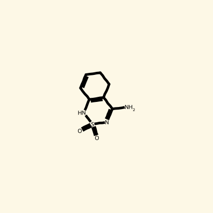 NC1=NS(=O)(=O)NC2=C1CCC=C2